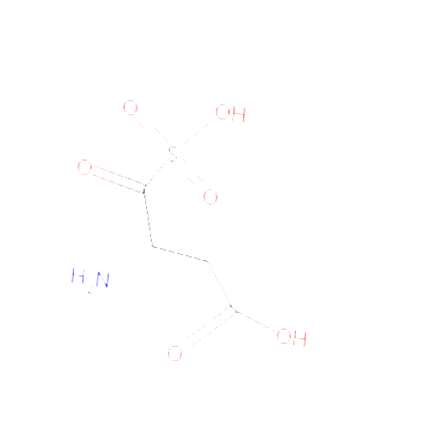 N[C@@H](CC(=O)O)C(=O)S(=O)(=O)O